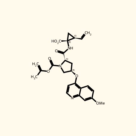 C=C[C@@H]1C[C@]1(NC(=O)[C@@H]1C[C@@H](Oc2ccnc3cc(OC)ccc23)CN1C(=O)OC(=C)C)C(=O)O